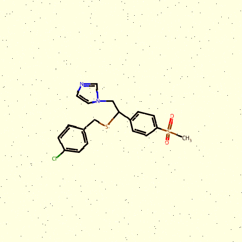 CS(=O)(=O)c1ccc(C(Cn2ccnc2)SCc2ccc(Cl)cc2)cc1